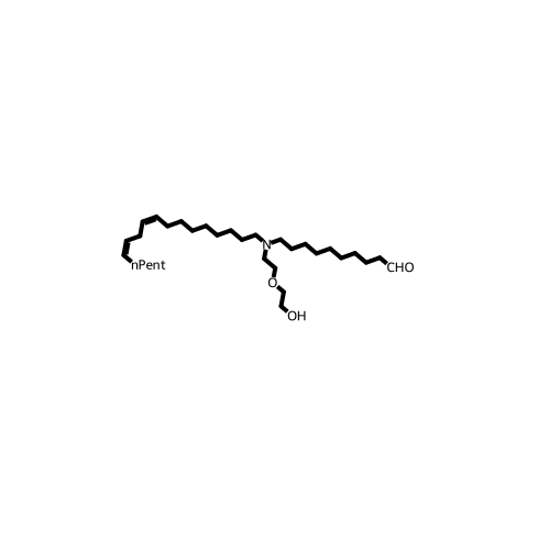 CCCCC/C=C\C/C=C\CCCCCCCCN(CCCCCCCCCC=O)CCOCCO